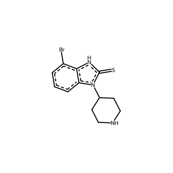 S=c1[nH]c2c(Br)cccc2n1C1CCNCC1